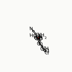 Cc1nc(N)sc1S(=O)(=O)N1Cc2cc3c(cc2C[C@H]1C(=O)N[C@@H](Cc1ccc(-c2ccc(C#N)cc2)cc1)C(=O)O)OCC(c1ccc(NC(=O)c2ccc(Cl)c(Cl)c2)cc1)O3